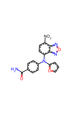 NC(=O)c1ccc(N(c2ccco2)c2ccc([N+](=O)[O-])c3nonc23)cc1